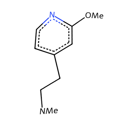 CNCCc1ccnc(OC)c1